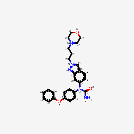 NC(=O)N(c1ccc(Oc2ccccc2)cc1)c1ccc2cn(CCCN3CCOCC3)nc2c1